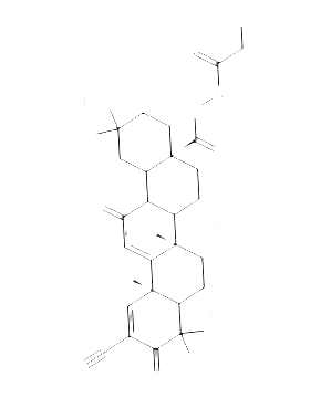 CCC(=N)NOC(=O)[C@]12CCC(C)(C)CC1C1C(=O)C=C3[C@@]4(C)C=C(C#N)C(=O)C(C)(C)[C@@H]4CC[C@@]3(C)[C@]1(C)CC2